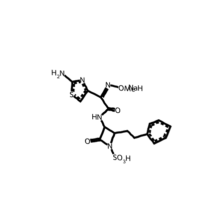 CO/N=C(\C(=O)NC1C(=O)N(S(=O)(=O)O)C1CCc1ccccc1)c1csc(N)n1.[NaH]